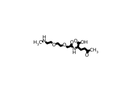 CNCCOCCOCC(=O)NC(CCC(C)=O)C(=O)O